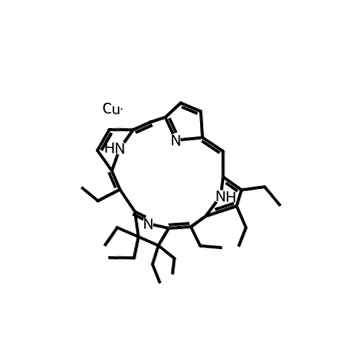 CCc1c2nc(c(CC)c3[nH]c(cc4nc(cc5ccc1[nH]5)C=C4)c(CC)c3CC)C(CC)(CC)C2(CC)CC.[Cu]